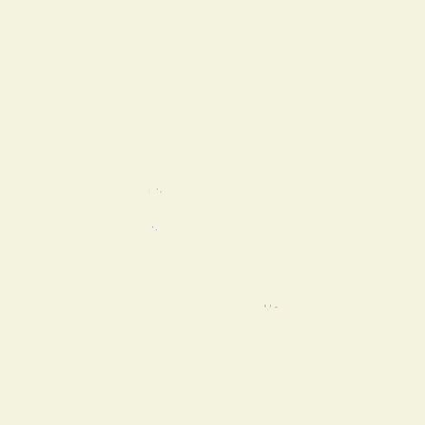 COC(=O)c1ccc(-c2cnc(Nc3cccc(F)c3F)o2)cc1